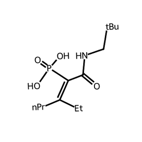 CCCC(CC)=C(C(=O)NCC(C)(C)C)P(=O)(O)O